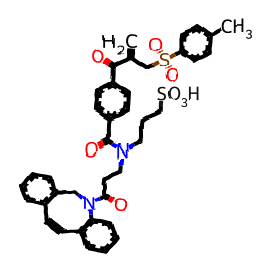 C=C(CS(=O)(=O)c1ccc(C)cc1)C(=O)c1ccc(C(=O)N(CCCS(=O)(=O)O)CCC(=O)N2Cc3ccccc3C#Cc3ccccc32)cc1